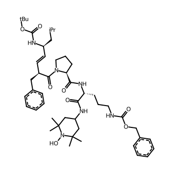 CC(C)C[C@@H](/C=C/[C@H](Cc1ccccc1)C(=O)N1CCC[C@H]1C(=O)N[C@H](CCCNC(=O)OCc1ccccc1)C(=O)NC1CC(C)(C)N(O)C(C)(C)C1)NC(=O)OC(C)(C)C